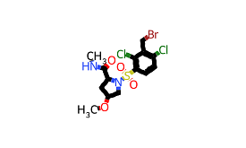 CNC(=O)C1CC(OC)CN1S(=O)(=O)c1ccc(Cl)c(CBr)c1Cl